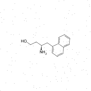 N[C@@H](CCO)Cc1cccc2ccccc12